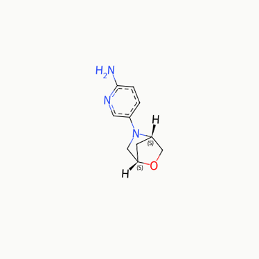 Nc1ccc(N2C[C@@H]3C[C@H]2CO3)cn1